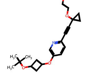 CC(C)(C)OC1CC(Oc2ccc(C#CC3(OCCO)CC3)nc2)C1